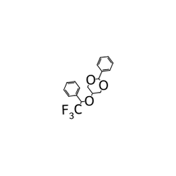 FC(F)(F)C(OC1COC(c2ccccc2)OC1)c1ccccc1